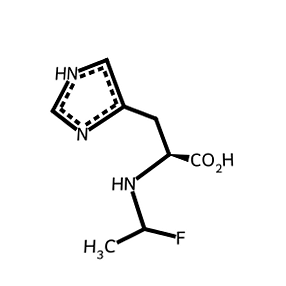 CC(F)N[C@@H](Cc1c[nH]cn1)C(=O)O